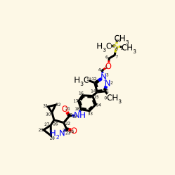 Cc1nn(COCCS(C)(C)C)c(C)c1-c1ccc(NC(=O)C(C(N)=O)C(C2CC2)C2CC2)cc1